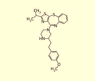 COc1ccc(CCC2CN(C3=Nc4ccccc4Sc4sc(C(C)C)nc43)CCN2)cc1